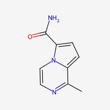 Cc1nccn2c(C(N)=O)ccc12